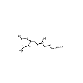 CCCCCCCCCCCCC(S)CCN(CCO)CCO